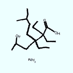 CCC(CCC(C)C)(CC(C)O)C(CC)(CC)C(=O)O.N